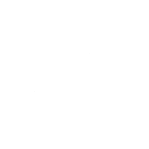 c1ccc(-c2ccccc2-c2cccc3c2sc2c(-c4ccc(C5(c6ccccc6)c6ccccc6-c6ccccc65)cc4)cccc23)cc1